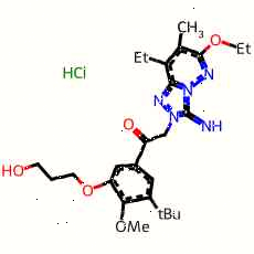 CCOc1nn2c(=N)n(CC(=O)c3cc(OCCCO)c(OC)c(C(C)(C)C)c3)nc2c(CC)c1C.Cl